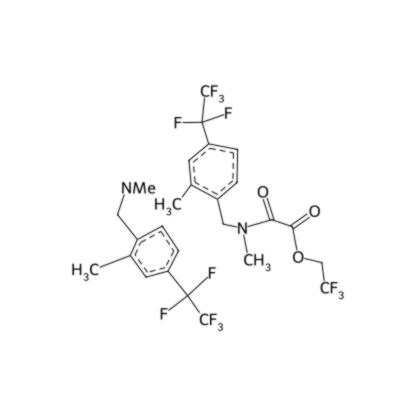 CNCc1ccc(C(F)(F)C(F)(F)F)cc1C.Cc1cc(C(F)(F)C(F)(F)F)ccc1CN(C)C(=O)C(=O)OCC(F)(F)F